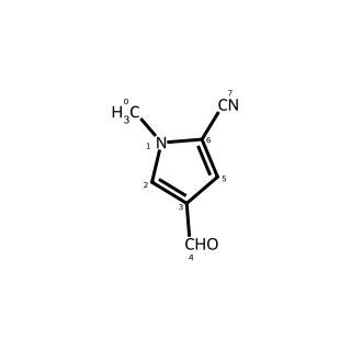 Cn1cc(C=O)cc1C#N